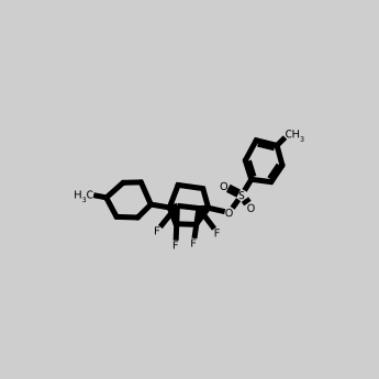 Cc1ccc(S(=O)(=O)OC23CCC(C4CCC(C)CC4)(CC2)C(F)(F)C3(F)F)cc1